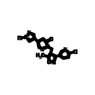 CCn1cc(-c2cnn(Cc3c(-c4ccc(Cl)nc4)noc3C)c(=O)c2)cn1